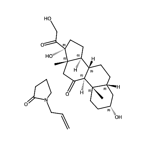 C=CCN1CCCC1=O.C[C@]12CC[C@@H](O)C[C@H]1CC[C@@H]1[C@@H]2C(=O)C[C@@]2(C)[C@H]1CC[C@]2(O)C(=O)CO